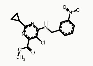 COC(=O)c1nc(C2CC2)nc(NCc2cccc([N+](=O)[O-])c2)c1Cl